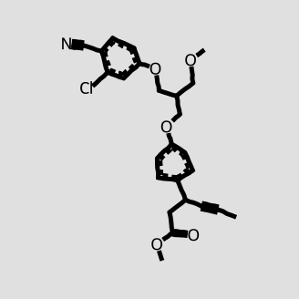 CC#CC(CC(=O)OC)c1ccc(OCC(COC)COc2ccc(C#N)c(Cl)c2)cc1